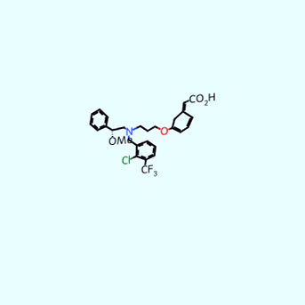 CO[C@@H](CN(CCCOC1=CC=CC(=CC(=O)O)C1)Cc1cccc(C(F)(F)F)c1Cl)c1ccccc1